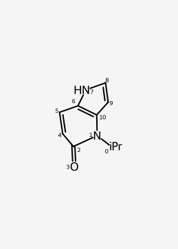 CC(C)n1c(=O)ccc2[nH]ccc21